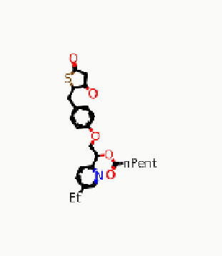 CCCCCC(=O)OC(COc1ccc(CC2SC(=O)CC2=O)cc1)c1ccc(CC)cn1